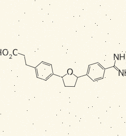 N=C(N)c1ccc(C2CCC(c3ccc(CCC(=O)O)cc3)O2)cc1